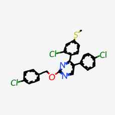 CSc1ccc(-c2nc(OCc3ccc(Cl)cc3)ncc2-c2ccc(Cl)cc2)c(Cl)c1